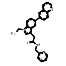 CCn1cc(CC(=O)NCc2ccccn2)c2cc(-c3ccc4ncccc4c3)ccc21